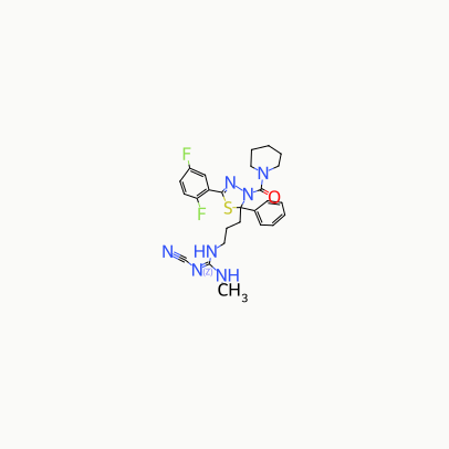 CN/C(=N/C#N)NCCCC1(c2ccccc2)SC(c2cc(F)ccc2F)=NN1C(=O)N1CCCCC1